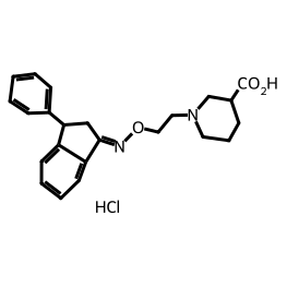 Cl.O=C(O)C1CCCN(CCON=C2CC(c3ccccc3)c3ccccc32)C1